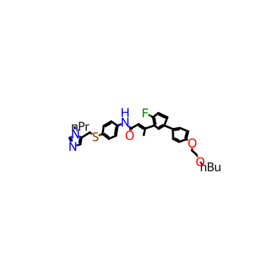 CCCCOCCOc1ccc(-c2ccc(F)c(/C(C)=C/C(=O)Nc3ccc(SCc4cncn4CCC)cc3)c2)cc1